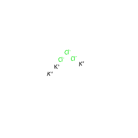 [Cl-].[Cl-].[Cl-].[K+].[K+].[K+]